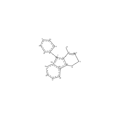 CC1=NCCc2c1n(-c1ccccc1)c1ccccc21